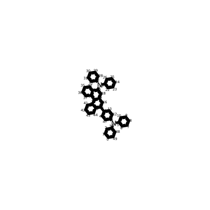 c1ccc(N(c2ccccc2)c2ccc(-c3cc4cc(N(c5ccccc5)c5ccccc5)c5ccccc5c4c4ccccc34)cc2)cc1